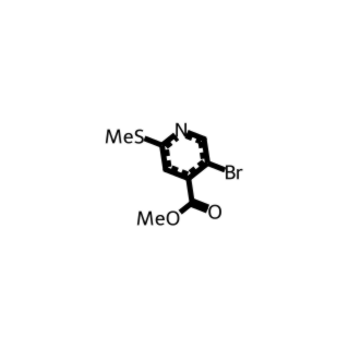 COC(=O)c1cc(SC)ncc1Br